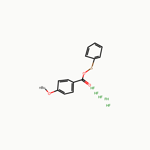 CCCCOc1ccc(C(=O)OSc2ccccc2)cc1.F.F.F.F.F